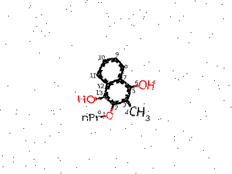 CCCOc1c(C)c(O)c2ccccc2c1O